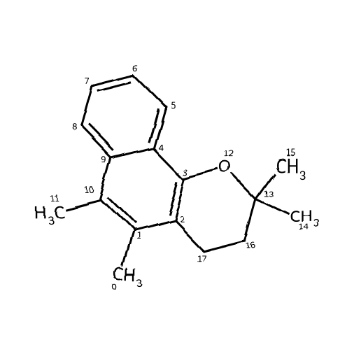 Cc1c2c(c3ccccc3c1C)OC(C)(C)CC2